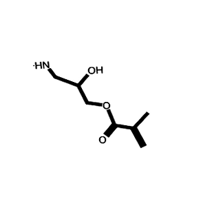 C=C(C)C(=O)OCC(O)C[NH]